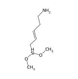 CO[SiH](CC=CCCN)OC